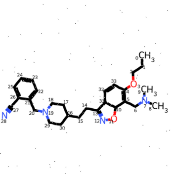 CCCOC1=C(CN(C)C)C2ON=C(CCC3CCN(Cc4ccccc4C#N)CC3)C2C=C1